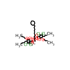 C=CC(=CC=C(CCCCCCC1CCCCCCC1)OC(=O)c1c(O)c(OCCCC)c(CCCC)c(Cl)c1Cl)OC(=O)c1c(O)c(OCCCC)c(CCCC)c(Cl)c1Cl